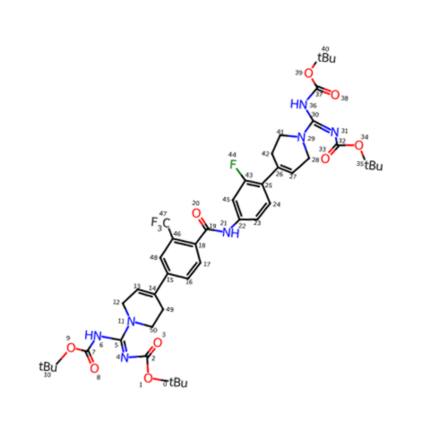 CC(C)(C)OC(=O)/N=C(/NC(=O)OC(C)(C)C)N1CC=C(c2ccc(C(=O)Nc3ccc(C4=CCN(/C(=N\C(=O)OC(C)(C)C)NC(=O)OC(C)(C)C)CC4)c(F)c3)c(C(F)(F)F)c2)CC1